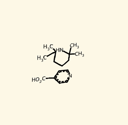 CC1(C)CCCC(C)(C)N1.O=C(O)c1ccncc1